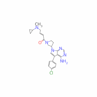 CN(C/C=C/C(=O)N1CC[C@@H](n2cc(-c3ccc(Cl)cc3)c3c(N)ncnc32)C1)C1CC1